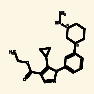 CCOC(=O)c1cnn(-c2cccc([C@@H]3CCC[C@@H](NN)C3)c2)c1C1CC1